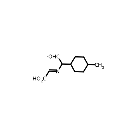 CC1CCC(C([C]=O)N=CC(=O)O)CC1